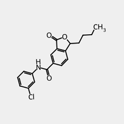 CCCCC1OC(=O)c2cc(C(=O)Nc3cccc(Cl)c3)ccc21